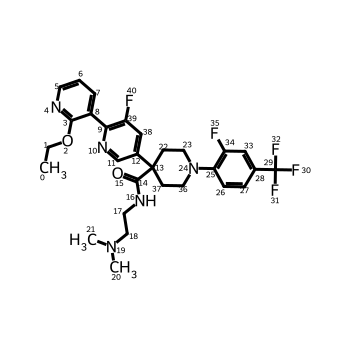 CCOc1ncccc1-c1ncc(C2(C(=O)NCCN(C)C)CCN(c3ccc(C(F)(F)F)cc3F)CC2)cc1F